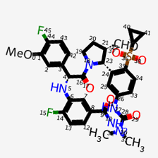 COc1cc([C@@H](Nc2cc(C(N)=O)ccc2F)C(=O)N2CC[C@H](C=O)[C@@H]2c2cc(NC(=O)N(C)C)ccc2S(=O)(=O)C2CC2)ccc1F